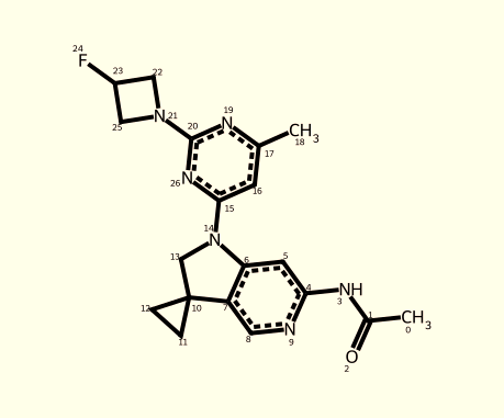 CC(=O)Nc1cc2c(cn1)C1(CC1)CN2c1cc(C)nc(N2CC(F)C2)n1